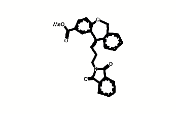 COC(=O)c1ccc2c(c1)/C(=C/CCN1C(=O)c3ccccc3C1=O)c1ccccc1CO2